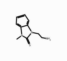 Cn1c(=S)n(CCN)c2ccccc21